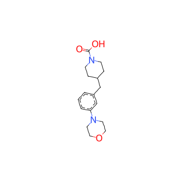 O=C(O)N1CCC(Cc2cccc(N3CCOCC3)c2)CC1